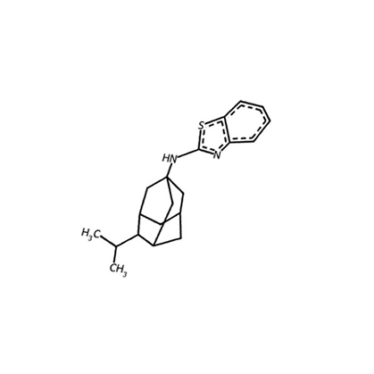 CC(C)C1C2CC3CC1CC(Nc1nc4ccccc4s1)(C3)C2